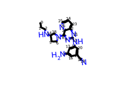 CCCNC1CCN(c2nc(Nc3cc(N)cc(C#N)c3)nc3cccnc23)C1